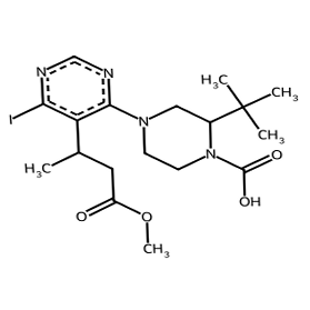 COC(=O)CC(C)c1c(I)ncnc1N1CCN(C(=O)O)C(C(C)(C)C)C1